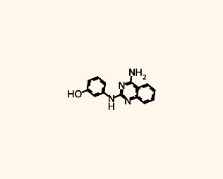 Nc1nc(Nc2cccc(O)c2)nc2ccccc12